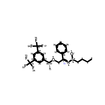 CCCC[S+]([O-])/N=C(/CO[C@H](C)c1cc(C(F)(F)F)cc(C(F)(F)F)c1)c1ccccc1